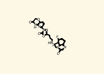 O=C1COc2ccc(-n3nc(CCCN[C@H]4Cn5c(=O)cnc6ccc(F)c4c65)oc3=O)nc2N1